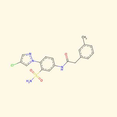 Cc1cccc(CC(=O)Nc2ccc(-n3cc(Cl)cn3)c(S(N)(=O)=O)c2)c1